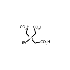 C[CH](C)[Sn]([CH2]C(=O)O)([CH2]C(=O)O)[CH2]C(=O)O